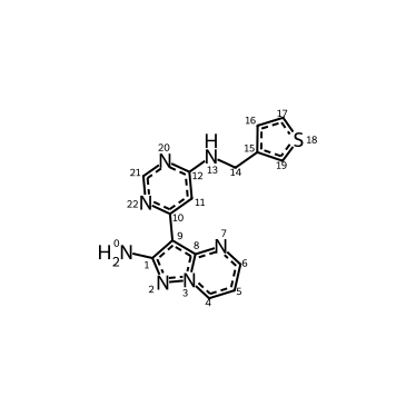 Nc1nn2cccnc2c1-c1cc(NCc2ccsc2)ncn1